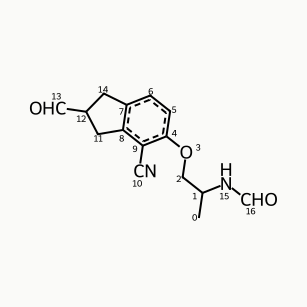 CC(COc1ccc2c(c1C#N)CC(C=O)C2)NC=O